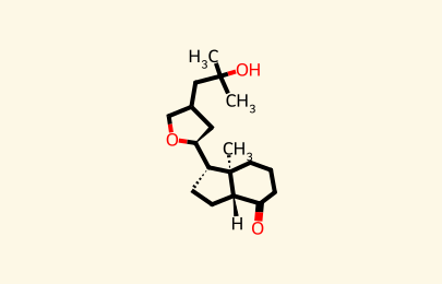 CC(C)(O)CC1CO[C@H]([C@H]2CC[C@H]3C(=O)CCC[C@]23C)C1